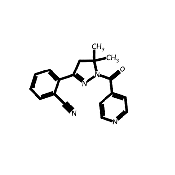 CC1(C)CC(c2ccccc2C#N)=NN1C(=O)c1ccncc1